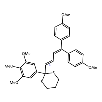 COc1ccc(C(=C/C=C/C2(c3cc(OC)c(OC)c(OC)c3)SCCCS2)c2ccc(OC)cc2)cc1